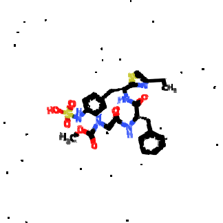 CCc1csc([C@H](Cc2ccc(NS(=O)(=O)O)cc2)NC(=O)[C@H](Cc2ccccc2)NC(=O)CNC(=O)OC)n1